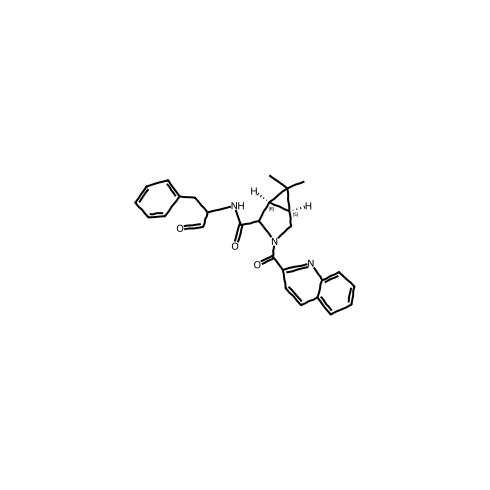 CC1(C)[C@@H]2C(C(=O)NC(C=O)Cc3ccccc3)N(C(=O)c3ccc4ccccc4n3)C[C@@H]21